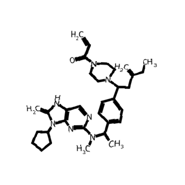 C=CC(=O)N1CCN(C(CC(=C)CC)c2ccc(C(C)N(C)c3ncc4c(n3)N(C3CCCC3)C(=C)N4)cc2)CC1